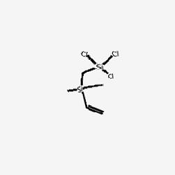 C=C[Si](C)(C)C[Si](Cl)(Cl)Cl